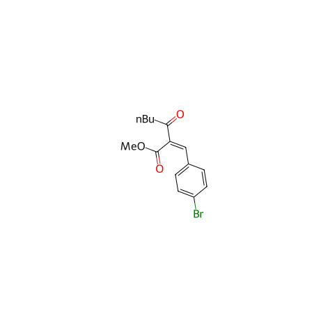 CCCCC(=O)/C(=C/c1ccc(Br)cc1)C(=O)OC